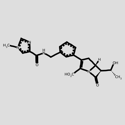 C[C@@H](O)[C@H]1C(=O)N2C(C(=O)O)=C(c3cccc(CNC(=O)c4cn(C)cn4)c3)C[C@H]12